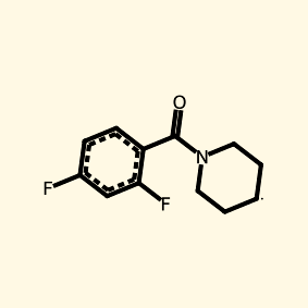 O=C(c1ccc(F)cc1F)N1CC[CH]CC1